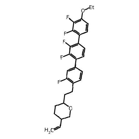 C=CC1CCC(CCc2ccc(-c3ccc(-c4ccc(OCC)c(F)c4F)c(F)c3F)cc2F)OC1